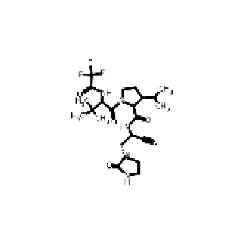 CC(C)C1CCN(C(=O)C(NC(=O)C(F)(F)F)C(C)(C)C)C1C(=O)NC(C#N)C[C@@H]1CCNC1=O